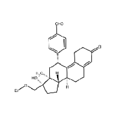 CCOC[C@]1(O)CC[C@H]2[C@@H]3CCC4=CC(=O)CCC4=C3[C@@H](c3ccc(C=O)cc3)C[C@@]21C